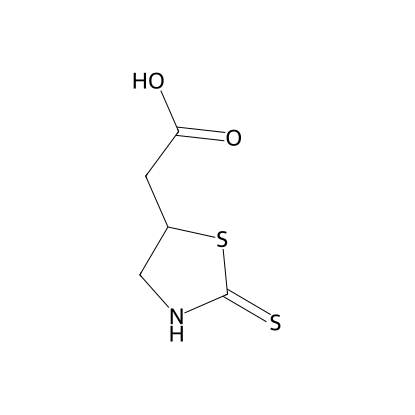 O=C(O)CC1CNC(=S)S1